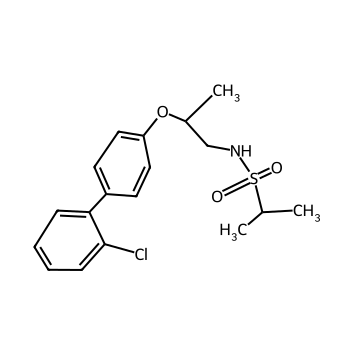 CC(CNS(=O)(=O)C(C)C)Oc1ccc(-c2ccccc2Cl)cc1